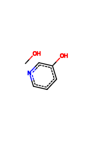 CO.Oc1cccnc1